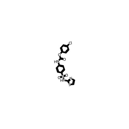 O=C(Nc1ccc(S(=O)(=O)Nc2nccs2)cc1)Oc1ccc(Cl)cc1